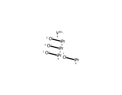 CC(C)[O-].CC(C)[O-].CC(C)[O-].CC(C)[O-].[V+4]